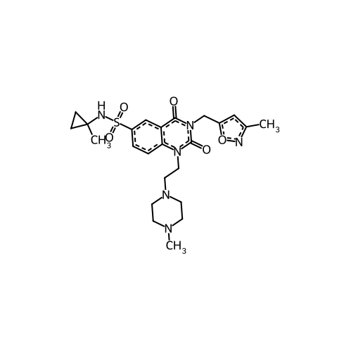 Cc1cc(Cn2c(=O)c3cc(S(=O)(=O)NC4(C)CC4)ccc3n(CCN3CCN(C)CC3)c2=O)on1